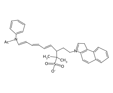 CC(=O)N(/C=C/C=C/C=C/C(CC[N+]1=CCc2c1ccc1ccccc21)C(C)(C)S(=O)(=O)[O-])c1ccccc1